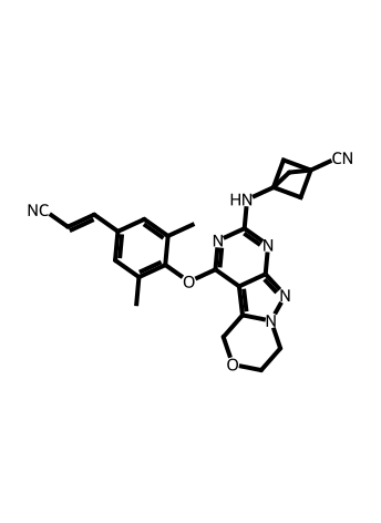 Cc1cc(/C=C/C#N)cc(C)c1Oc1nc(NC23CC(C#N)(C2)C3)nc2nn3c(c12)COCC3